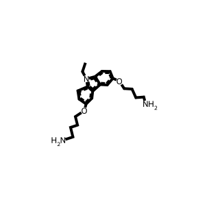 CCn1c2ccc(OCCCCN)cc2c2cc(OCCCCN)ccc21